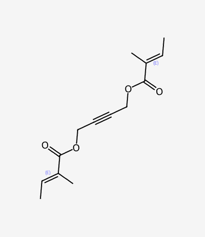 C/C=C(\C)C(=O)OCC#CCOC(=O)/C(C)=C/C